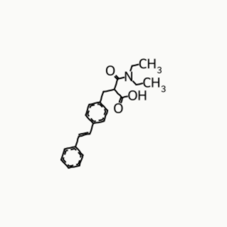 CCN(CC)C(=O)C(Cc1ccc(/C=C/c2ccccc2)cc1)C(=O)O